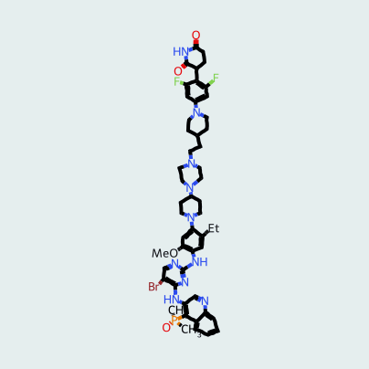 CCc1cc(Nc2ncc(Br)c(Nc3cnc4ccccc4c3P(C)(C)=O)n2)c(OC)cc1N1CCC(N2CCN(CCC3CCN(c4cc(F)c(C5CCC(=O)NC5=O)c(F)c4)CC3)CC2)CC1